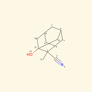 CC1(C#N)[C]2CC3CC(C2)CC1(O)C3